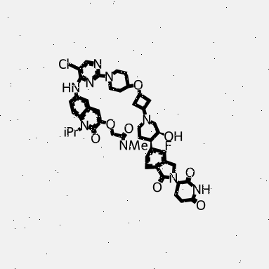 CNC(=O)COc1cc2cc(Nc3nc(N4CCC(OC5CC(N6CC[C@H](c7ccc8c(c7F)CN(C7CCC(=O)NC7=O)C8=O)[C@H](O)C6)C5)CC4)ncc3Cl)ccc2n(C(C)C)c1=O